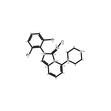 CC(C)c1cccc(C(C)C)c1-n1cc2cccc(N3CCOCC3)n2[c]1=[Au][Cl]